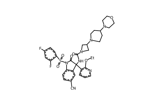 CCOc1ncccc1C1(NC(=O)N2CC(N3CCC(N4CCOCC4)CC3)C2)C(=O)N(S(=O)(=O)c2ccc(F)cc2F)c2ccc(C#N)cc21